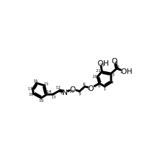 O=C(O)c1ccc(OCCON=CCc2ccccc2)cc1O